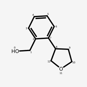 OCc1ccccc1C1CCOC1